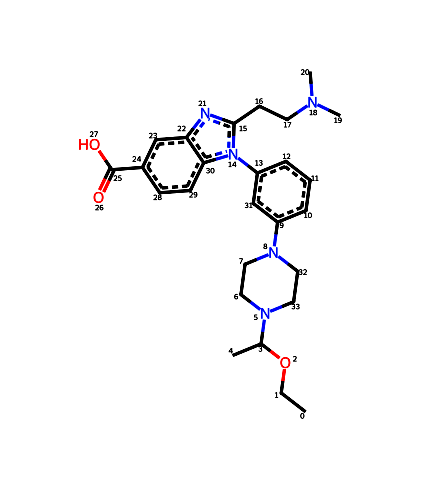 CCOC(C)N1CCN(c2cccc(-n3c(CCN(C)C)nc4cc(C(=O)O)ccc43)c2)CC1